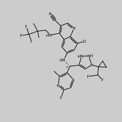 Cc1nc(F)ccc1[C@H](Nc1cc(Cl)c2ncc(C#N)c(NCC(C)(C)C(F)(F)F)c2c1)C1=CN(C2(C(F)F)CC2)NN1